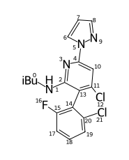 CCC(C)Nc1nc(-n2cccn2)cc(Cl)c1-c1c(F)cccc1Cl